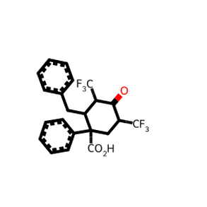 O=C1C(C(F)(F)F)CC(C(=O)O)(c2ccccc2)C(Cc2ccccc2)C1C(F)(F)F